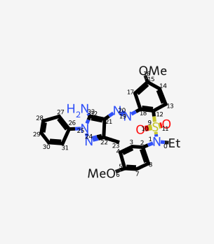 CCN(c1ccc(OC)cc1)S(=O)(=O)c1ccc(OC)cc1/N=N/c1c(C)nn(-c2ccccc2)c1N